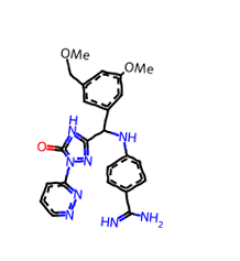 COCc1cc(OC)cc(C(Nc2ccc(C(=N)N)cc2)c2nn(-c3cccnn3)c(=O)[nH]2)c1